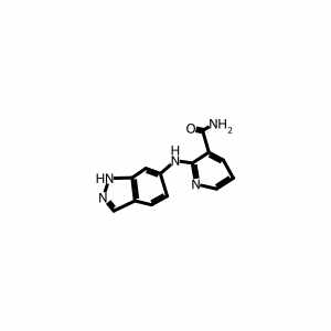 NC(=O)c1cccnc1Nc1ccc2cn[nH]c2c1